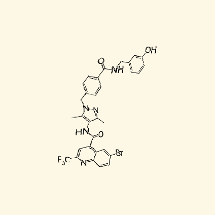 Cc1nn(Cc2ccc(C(=O)NCc3cccc(O)c3)cc2)c(C)c1NC(=O)c1cc(C(F)(F)F)nc2ccc(Br)cc12